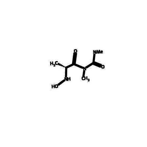 CNC(=O)N(C)C(=O)[C@@H](C)NO